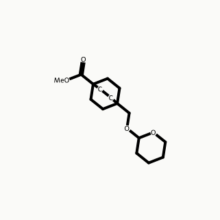 COC(=O)C12CCC(COC3CCCCO3)(CC1)CC2